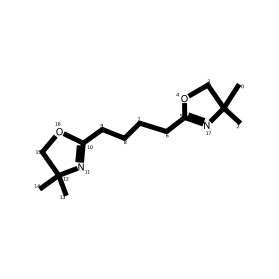 CC1(C)COC(CCCCC2=NC(C)(C)CO2)=N1